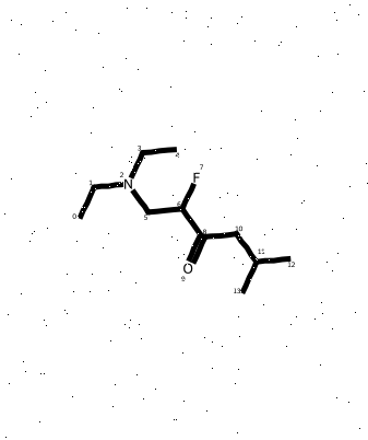 CCN(CC)CC(F)C(=O)CC(C)C